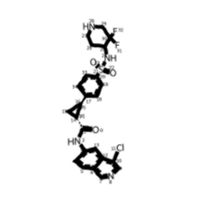 O=C(Nc1ccc2cncc(Cl)c2c1)[C@@H]1C[C@H]1c1ccc(S(=O)(=O)NC2CCNCC2(F)F)cc1